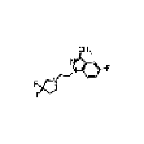 Cc1nn(CCN2CCC(F)(F)C2)c2ccc(F)cc12